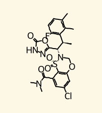 Cc1ccc(F)c([C@@H](C)[C@@H](c2n[nH]c(=O)o2)N2COc3cc(Cl)cc(C(=O)N(C)C)c3S2(=O)=O)c1C